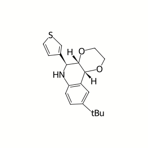 CC(C)(C)c1ccc2c(c1)[C@H]1OCCO[C@H]1[C@H](c1ccsc1)N2